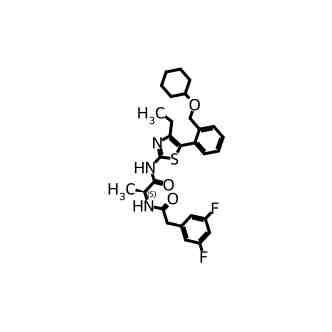 CCc1nc(NC(=O)[C@H](C)NC(=O)Cc2cc(F)cc(F)c2)sc1-c1ccccc1COC1CCCCC1